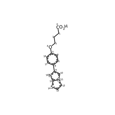 O=C(O)CCCOc1ccc(-c2cn3ccsc3n2)cc1